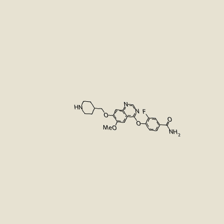 COc1cc2c(Oc3ccc(C(N)=O)cc3F)ncnc2cc1OCC1CCNCC1